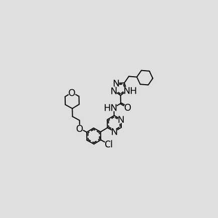 O=C(Nc1cc(-c2cc(OCCC3CCOCC3)ccc2Cl)ncn1)c1nnc(CC2CCCCC2)[nH]1